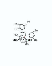 CC(C)Cc1cc(C(C)(C)C)c(O)c(C(C)(CC(c2cc(C(C)(C)C)cc(C(C)(C)C)c2O)c2cc(C(C)(C)C)cc(C(C)(C)C)c2O)c2cc(CC(C)C)cc(C(C)(C)C)c2O)c1